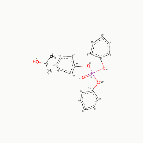 CC(C)O.O=P(Oc1ccccc1)(Oc1ccccc1)Oc1ccccc1